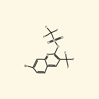 O=S(=O)(Oc1nc2cc(Br)ccc2cc1C(F)(F)F)C(F)(F)F